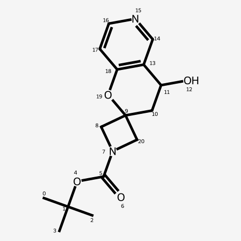 CC(C)(C)OC(=O)N1CC2(CC(O)c3cnccc3O2)C1